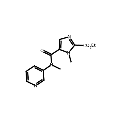 CCOC(=O)c1ncc(C(=O)N(C)c2cccnc2)n1C